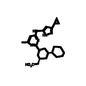 Cc1cc(Nc2cc(C3CC3)n[nH]2)nc(N2C[C@H](CC(=O)O)C[C@H](C3CCCCC3)C2)n1